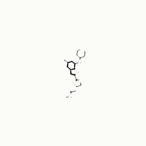 CNC(=O)C[C@@H]1CSC(c2cc3cc(Cl)cc(NC4CCOCC4)c3[nH]2)=N1